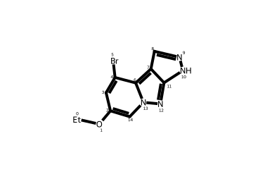 CCOc1cc(Br)c2c3cn[nH]c3nn2c1